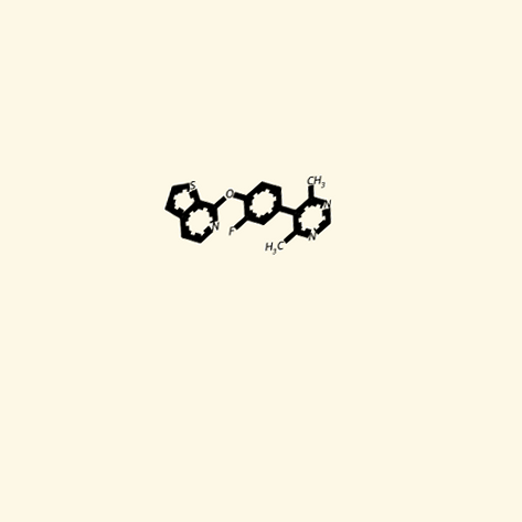 Cc1ncnc(C)c1-c1ccc(Oc2nccc3ccsc23)c(F)c1